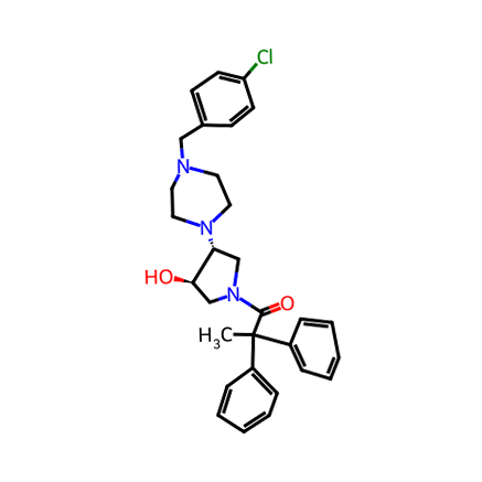 CC(C(=O)N1C[C@@H](O)[C@H](N2CCN(Cc3ccc(Cl)cc3)CC2)C1)(c1ccccc1)c1ccccc1